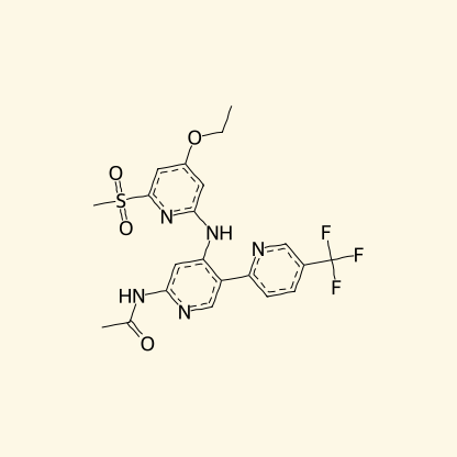 CCOc1cc(Nc2cc(NC(C)=O)ncc2-c2ccc(C(F)(F)F)cn2)nc(S(C)(=O)=O)c1